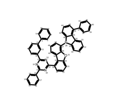 c1ccc(-c2cccc(-c3nc(-c4ccccc4)nc(-c4cccc5oc6c(-n7c8ccccc8c8c(-c9ccccc9)cccc87)cccc6c45)n3)c2)cc1